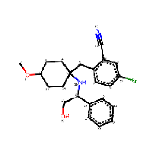 COC1CCC(Cc2ccc(Br)cc2C#N)(N[C@H](CO)c2ccccc2)CC1